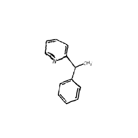 [CH2]C(c1ccccc1)c1ccccn1